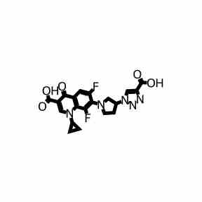 O=C(O)c1cn(C2CCN(c3c(F)cc4c(=O)c(C(=O)O)cn(C5CC5)c4c3F)C2)nn1